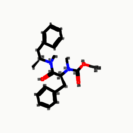 C[C@H](Cc1ccccc1)N(C)C(=O)[C@H](Cc1ccccc1)N(C)C(=O)OC(C)(C)C